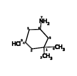 CC1(C)CCCC(N)C1.Cl